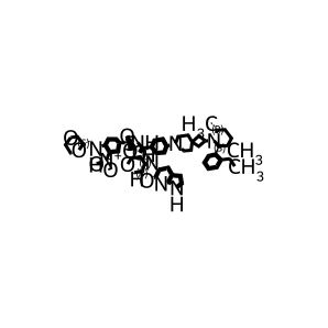 CC(C)c1ccccc1[C@@H]1CCC[C@@H](C)N1C1CC2(CCN(c3ccc(C(=O)NS(=O)(=O)c4ccc(NC[C@H]5COCCO5)c([N+](=O)[O-])c4)c(N4c5cc6cc[nH]c6nc5O[C@H]5COCC[C@@H]54)c3)CC2)C1